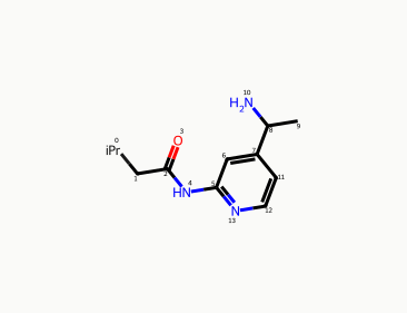 CC(C)CC(=O)Nc1cc(C(C)N)ccn1